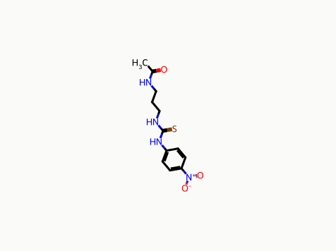 CC(=O)NCCCNC(=S)Nc1ccc([N+](=O)[O-])cc1